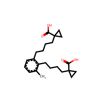 Cc1cccc(CCCCC2(C(=O)O)CC2)c1CCCCC1(C(=O)O)CC1